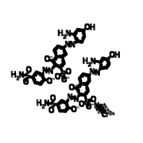 Nc1cc(O)ccc1N=Nc1ccc2c([O-])c(N=Nc3cc(S(N)(=O)=O)ccc3[O-])c(S(=O)(=O)[O-])cc2c1.Nc1cc(O)ccc1N=Nc1ccc2c([O-])c(N=Nc3cc(S(N)(=O)=O)ccc3[O-])c(S(=O)(=O)[O-])cc2c1.[Cr+3].[Na+].[Na+].[Na+]